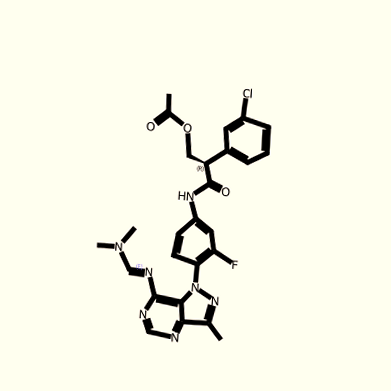 CC(=O)OC[C@H](C(=O)Nc1ccc(-n2nc(C)c3ncnc(/N=C/N(C)C)c32)c(F)c1)c1cccc(Cl)c1